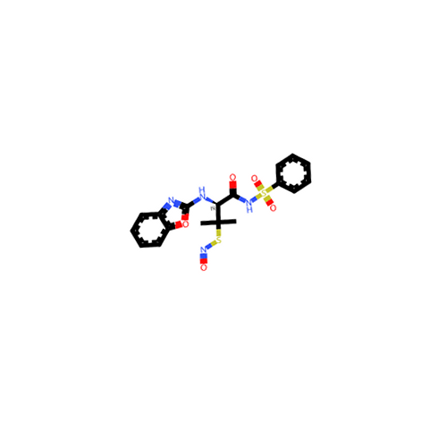 CC(C)(SN=O)[C@@H](Nc1nc2ccccc2o1)C(=O)NS(=O)(=O)c1ccccc1